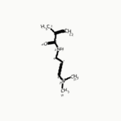 C=C(C)C(=O)NC/C=C/N(C)C